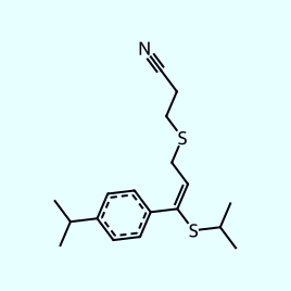 CC(C)S/C(=C/CSCCC#N)c1ccc(C(C)C)cc1